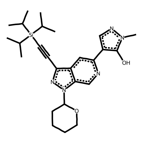 CC(C)[Si](C#Cc1nn(C2CCCCO2)c2cnc(-c3cnn(C)c3O)cc12)(C(C)C)C(C)C